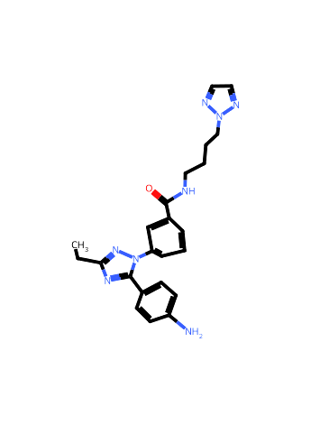 CCc1nc(-c2ccc(N)cc2)n(-c2cccc(C(=O)NCCCCn3nccn3)c2)n1